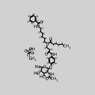 CCCCCC(=O)N(CCCCCCNC(=O)c1ccccc1)CCC(=O)Nc1ccc(O[C@H]2O[C@H]([Na])[C@H](O)[C@H](O)[C@H]2NC(C)=O)cc1.COS(=O)(=O)O